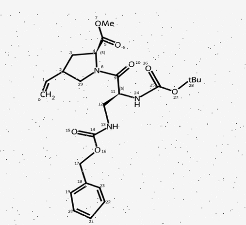 C=CC1C[C@@H](C(=O)OC)N(C(=O)[C@H](CNC(=O)OCc2ccccc2)NC(=O)OC(C)(C)C)C1